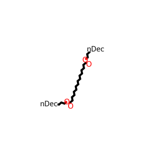 CCCCCCCCCCCCCOC(=O)CCCCCCCCCCCCCCC(=O)OCCCCCCCCCCCCC